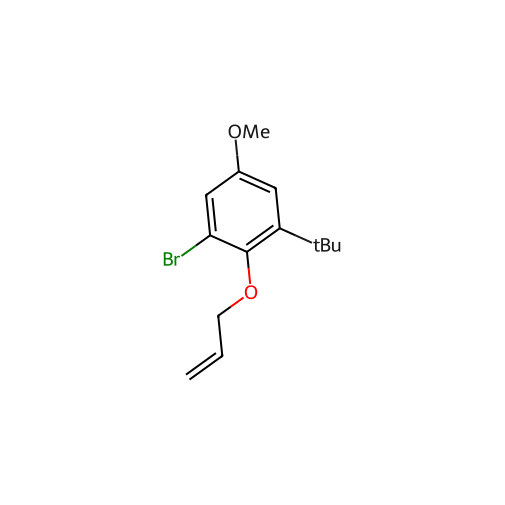 C=CCOc1c(Br)cc(OC)cc1C(C)(C)C